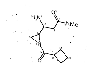 CNC(=O)CC(N)C1CN1C(=O)C1CCC1